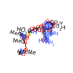 C=C1C[C@@H](CN(C)OC)N(C(=O)c2cc(OC)c(OCCCCCOc3cc4c(cc3OC)C(=O)N3CC(=C)C[C@H]3C=N4)cc2NC(=O)OCC(C)SSC[C@H](NC(=O)CCOCCOCCOCCOCCNC(=O)[C@H](CC(=O)O)NC(=O)[C@H](CC(=O)O)NC(=O)[C@H](CCCNC(=N)N)NC(=O)[C@H](CC(=O)O)NC(=O)CC[C@@H](C)NC(=O)c2ccc(NCc3cnc4nc(N)[nH]c(=O)c4n3)cc2)C(=O)O)C1